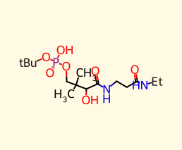 CCNC(=O)CCNC(=O)C(O)C(C)(C)COP(=O)(O)OC(C)(C)C